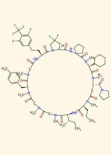 CCC[C@H]1C(=O)N[C@@H]([C@@H](C)CC)C(=O)N(C)CC(=O)N(C)CC(=O)N(C)[C@@H](Cc2ccc(C)cc2)C(=O)N(C)CC(=O)N[C@@H](CCc2cc(F)c(C(F)(F)F)c(F)c2)C(=O)N2CC(F)(F)C[C@H]2C(=O)NC2(CCCC2)C(=O)N(C)[C@@H](C2CCCCC2)C(=O)N(C)[C@H](C(=O)N2CCCC2)CC(=O)N1C